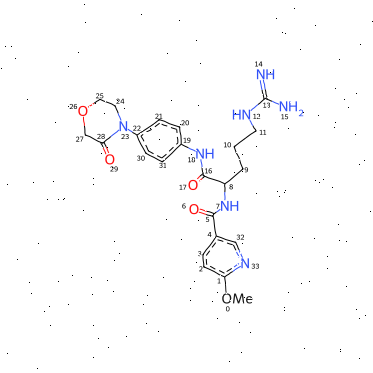 COc1ccc(C(=O)NC(CCCNC(=N)N)C(=O)Nc2ccc(N3CCOCC3=O)cc2)cn1